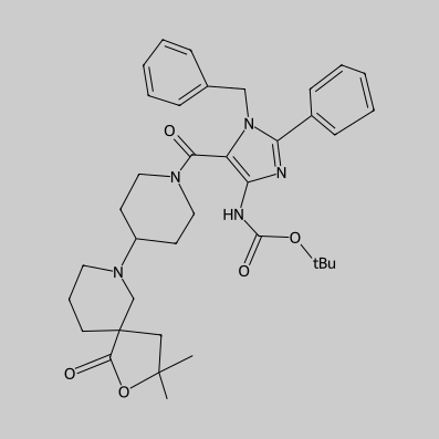 CC(C)(C)OC(=O)Nc1nc(-c2ccccc2)n(Cc2ccccc2)c1C(=O)N1CCC(N2CCCC3(C2)CC(C)(C)OC3=O)CC1